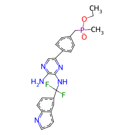 CCOP(C)(=O)Cc1ccc(-c2cnc(N)c(NC(F)(F)c3ccc4ncccc4c3)n2)cc1